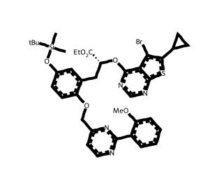 CCOC(=O)[C@@H](Cc1cc(O[Si](C)(C)C(C)(C)C)ccc1OCc1ccnc(-c2ccccc2OC)n1)Oc1ncnc2sc(C3CC3)c(Br)c12